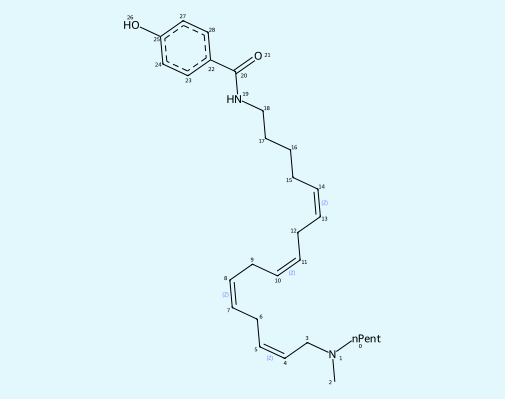 CCCCCN(C)C/C=C\C/C=C\C/C=C\C/C=C\CCCCNC(=O)c1ccc(O)cc1